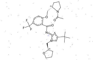 CC(=O)N1CCC[C@H]1COc1ccc(C(F)(F)F)cc1C(=O)/N=c1\sc(C(C)(C)C)cn1C[C@H]1CCCO1